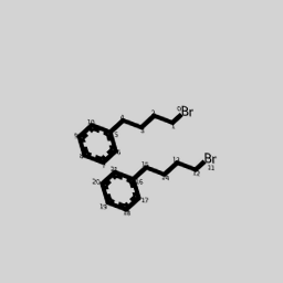 BrCCCCc1ccccc1.BrCCCCc1ccccc1